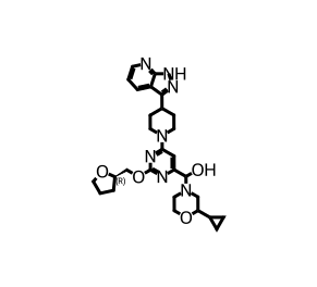 OC(c1cc(N2CCC(c3n[nH]c4ncccc34)CC2)nc(OC[C@H]2CCCO2)n1)N1CCOC(C2CC2)C1